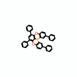 c1ccc(-c2ccc3c(c2)P2c4cc(-c5ccccc5)ccc4Oc4c(-c5ccccc5)cc(-c5ccccc5)c(c42)O3)cc1